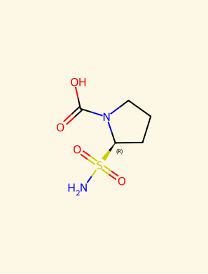 NS(=O)(=O)[C@@H]1CCCN1C(=O)O